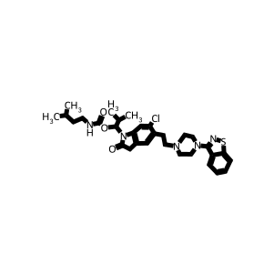 CC(C)CCNC(=O)OC(C(C)C)N1C(=O)Cc2cc(CCN3CCN(c4nsc5ccccc45)CC3)c(Cl)cc21